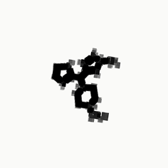 Cn1nnc(C(c2nccs2)N2CCN(C(=O)O)CC2)n1